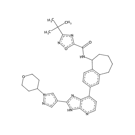 CC(C)(C)c1noc(C(=O)NC2CCCCc3cc(-c4ccnc5[nH]c(-c6cnn(C7CCOCC7)c6)nc45)ccc32)n1